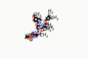 CC[C@@H]1C[C@]1(NC(=O)[C@@H]1C[C@@H](Oc2nccc3cc(OC)ccc23)CN1C(=O)[C@@H](NC(=O)O[C@H]1C[C@@H](C)[C@@H](C)C1)C(C)(C)C)C(=O)NS(=O)(=O)OC1(C)CC1